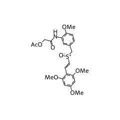 COc1cc(OC)c(C=C[S+]([O-])Cc2ccc(OC)c(NC(=O)COC(C)=O)c2)c(OC)c1